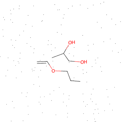 C=COCCC.CC(O)CO